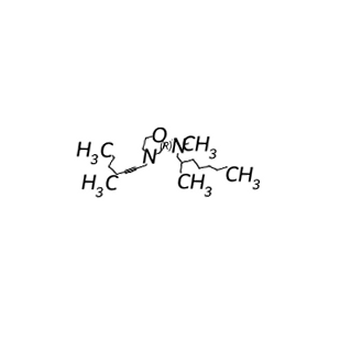 CCCCCCC(CC)CN(C)C[C@@H]1CN(CC#CC(C)CCC)CCO1